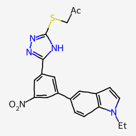 CCn1ccc2cc(-c3cc(-c4nnc(SCC(C)=O)[nH]4)cc([N+](=O)[O-])c3)ccc21